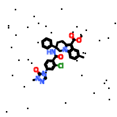 COC(=O)c1c2n(c3ccc(C)cc13)C[C@@](NC(=O)c1ccc(-n3cnn(C)c3=O)cc1Cl)(c1ccccc1)CC2